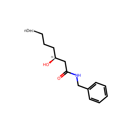 CCCCCCCCCCCCC[C@H](O)CC(=O)NCc1ccccc1